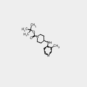 Cc1cnccc1NC1CCN(C(=O)OC(C)(C)C)CC1